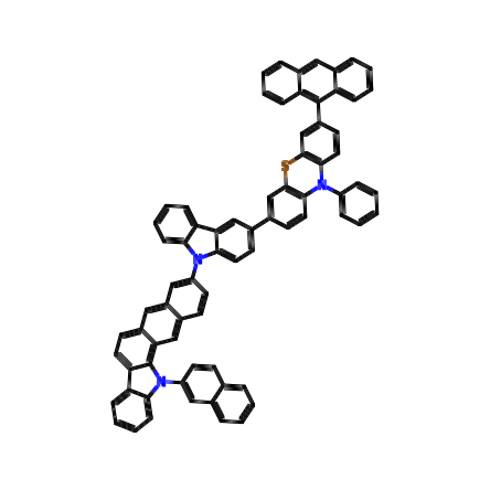 c1ccc(N2c3ccc(-c4ccc5c(c4)c4ccccc4n5-c4ccc5cc6c(ccc7c8ccccc8n(-c8ccc9ccccc9c8)c67)cc5c4)cc3Sc3cc(-c4c5ccccc5cc5ccccc45)ccc32)cc1